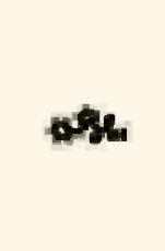 O=C(O)C(=O)c1nccn1Cc1ccccc1